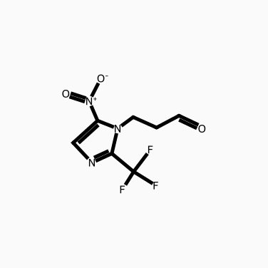 O=CCCn1c([N+](=O)[O-])cnc1C(F)(F)F